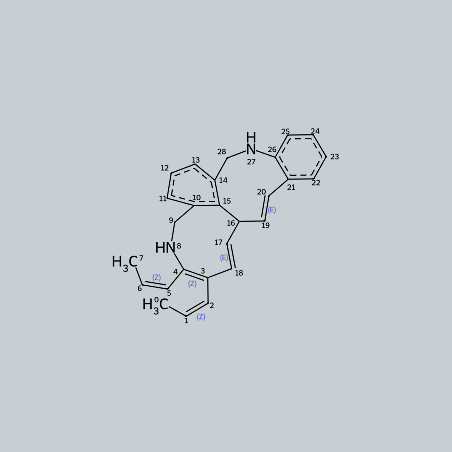 C/C=C\C1=C(/C=C\C)NCc2cccc3c2C(/C=C/1)/C=C/c1ccccc1NC3